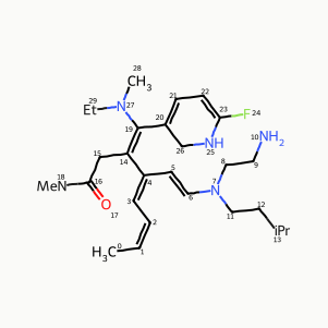 C\C=C/C=C(\C=C\N(CCN)CCC(C)C)C(/CC(=O)NC)=C(\C1=CC=C(F)NC1)N(C)CC